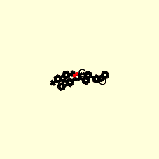 CC(C)(C)c1ccc2c(c1)C1(c3ccccc3-c3ccc(-c4ccc5c(c4)-c4cccc6c(-c7ccc8oc9ccccc9c8c7)ccc(c46)O5)cc31)c1cc(C(C)(C)C)ccc1-2